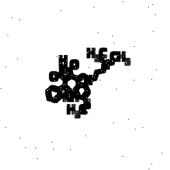 CCN(CC)CCCn1cc(C2=C(c3c[nH]c4ccccc34)C(=O)NC2=O)c2ccc(SC)cc21